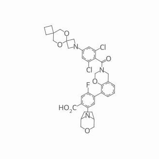 O=C(O)c1cc(F)c(-c2cccc3c2OCN(C(=O)c2c(Cl)cc(N4CC5(C4)OCC4(CCC4)CO5)cc2Cl)C3)cc1N1C2CCC1COC2